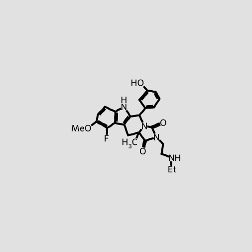 CCNCCN1C(=O)N2C(c3cccc(O)c3)c3[nH]c4ccc(OC)c(F)c4c3CC2(C)C1=O